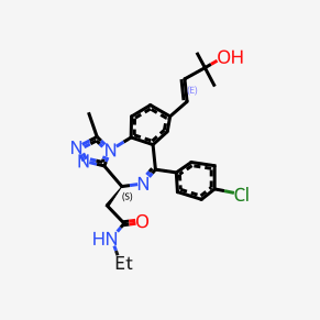 CCNC(=O)C[C@@H]1N=C(c2ccc(Cl)cc2)c2cc(/C=C/C(C)(C)O)ccc2-n2c(C)nnc21